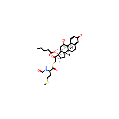 CCCCC(=O)O[C@]1(C(=O)CSC(=O)C(CCSC)NC=O)[C@@H](C)C[C@H]2[C@@H]3CCC4=CC(=O)C=C[C@]4(C)[C@@]3(F)[C@@H](O)C[C@@]21C